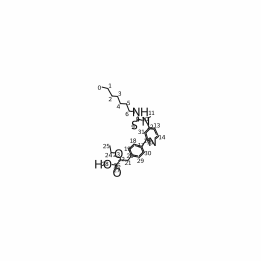 CCCCCCCNC(=S)N(C)c1ccnc(-c2ccc(CC(OCC)C(=O)O)cc2)c1